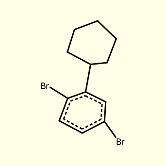 Brc1ccc(Br)c(C2CCCCC2)c1